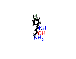 N=C(/C=C(\O)CN)c1ccc(Cl)cc1